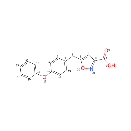 O=C(O)c1cc(Cc2ccc(Oc3ccccc3)cc2)on1